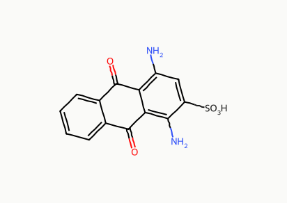 Nc1cc(S(=O)(=O)O)c(N)c2c1C(=O)c1ccccc1C2=O